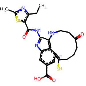 CCc1nc(C)sc1C(=O)NC1=Nc2cc(C(=O)O)c/c3c2=C1NCCC(=O)CCC/C=3S